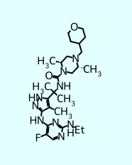 CCNc1ncc(F)c(Nc2n[nH]c(C(C)(C)NC(=O)N3C[C@@H](C)N(CC4CCOCC4)C[C@@H]3C)c2C)n1